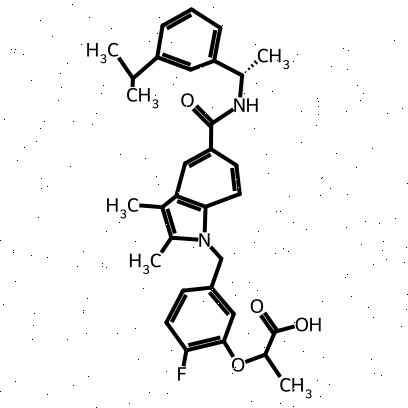 Cc1c(C)n(Cc2ccc(F)c(OC(C)C(=O)O)c2)c2ccc(C(=O)N[C@@H](C)c3cccc(C(C)C)c3)cc12